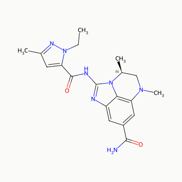 CCn1nc(C)cc1C(=O)Nc1nc2cc(C(N)=O)cc3c2n1[C@@H](C)CN3C